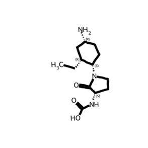 CC[C@@H]1C[C@H](N)CC[C@@H]1N1CC[C@H](NC(=O)O)C1=O